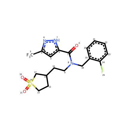 O=C(c1cc(C(F)(F)F)n[nH]1)N(CCC1CCS(=O)(=O)C1)Cc1ccccc1F